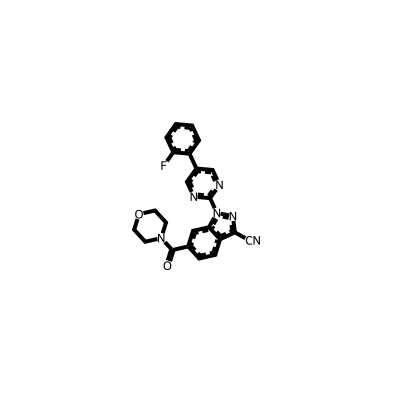 N#Cc1nn(-c2ncc(-c3ccccc3F)cn2)c2cc(C(=O)N3CCOCC3)ccc12